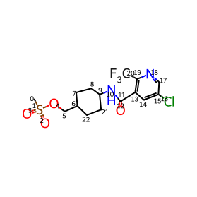 CS(=O)(=O)OCC1CCC(NC(=O)c2cc(Cl)cnc2C(F)(F)F)CC1